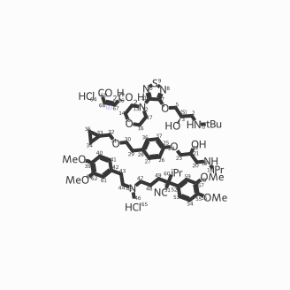 CC(C)(C)NC[C@H](O)COc1nsnc1N1CCOCC1.CC(C)NCC(O)COc1ccc(CCOCC2CC2)cc1.COc1ccc(CCN(C)CCCC(C#N)(c2ccc(OC)c(OC)c2)C(C)C)cc1OC.Cl.Cl.O=C(O)/C=C\C(=O)O